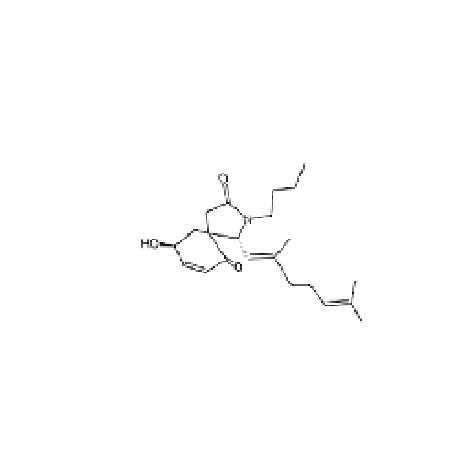 CCCCN1C(=O)CC2(C[C@H](O)C=CC2=O)[C@H]1/C=C(\C)CCC=C(C)C